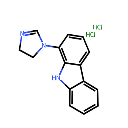 C1=NCCN1c1cccc2c1[nH]c1ccccc12.Cl.Cl